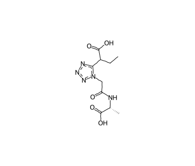 CCC(C(=O)O)c1nnnn1CC(=O)N[C@H](C)C(=O)O